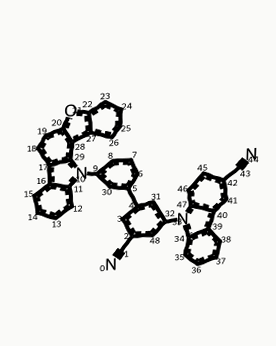 N#Cc1cc(-c2cccc(-n3c4ccccc4c4ccc5oc6ccccc6c5c43)c2)cc(-n2c3ccccc3c3cc(C#N)ccc32)c1